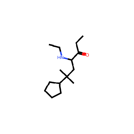 CCNC(CC(C)(C)C1CCCC1)C(=O)CC